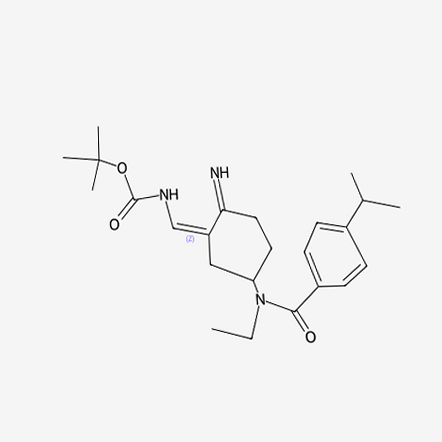 CCN(C(=O)c1ccc(C(C)C)cc1)C1CCC(=N)/C(=C\NC(=O)OC(C)(C)C)C1